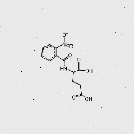 O=C(O)CCC(NC(=O)c1ccccc1[N+](=O)[O-])C(=O)O